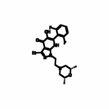 CCc1nn(CCN2C[C@@H](C)O[C@@H](C)C2)c2[nH]c(-c3c(F)cccc3F)c(O)c(=O)c12